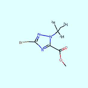 [2H]C([2H])([2H])n1nc(Br)nc1C(=O)OC